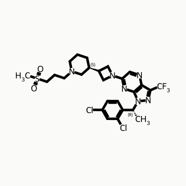 C[C@H](c1ccc(Cl)cc1Cl)n1nc(C(F)(F)F)c2ncc(N3CC([C@@H]4CCCN(CCCS(C)(=O)=O)C4)C3)nc21